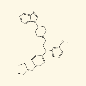 CCN(CC)Cc1ccc(C(CCN2CCC(n3cnc4ccccc43)CC2)c2cccc(OC)c2)cc1